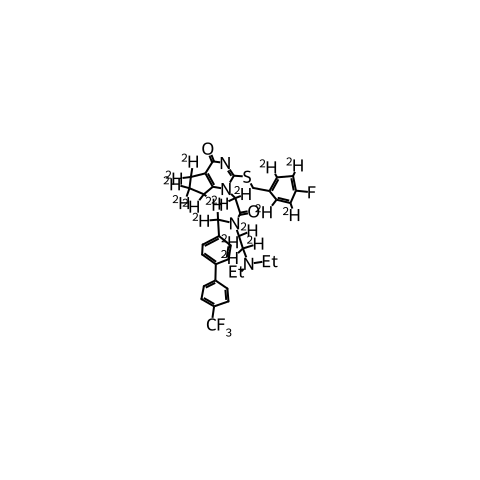 [2H]c1c([2H])c(CSc2nc(=O)c3c(n2C([2H])([2H])C(=O)N(C([2H])(C)c2ccc(-c4ccc(C(F)(F)F)cc4)cc2)C([2H])([2H])C([2H])([2H])N(CC)CC)C([2H])([2H])C([2H])([2H])C3([2H])[2H])c([2H])c([2H])c1F